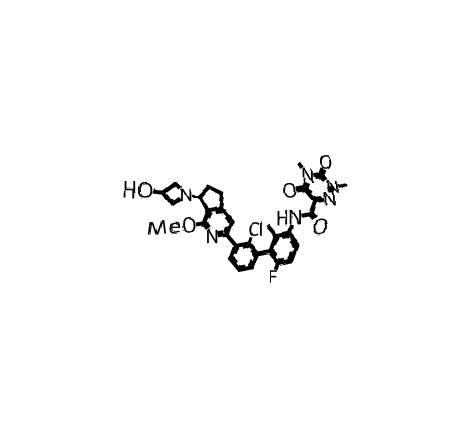 COc1nc(-c2cccc(-c3c(F)ccc(NC(=O)c4nn(C)c(=O)n(C)c4=O)c3C)c2Cl)cc2c1[C@@H](N1CC(O)C1)CC2